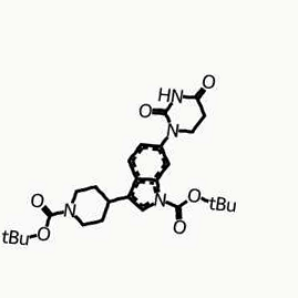 CC(C)(C)OC(=O)N1CCC(c2cn(C(=O)OC(C)(C)C)c3cc(N4CCC(=O)NC4=O)ccc23)CC1